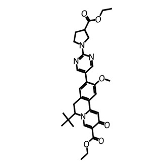 CCOC(=O)c1cn2c(cc1=O)-c1cc(OC)c(-c3cnc(N4CCC(C(=O)OCC)C4)nc3)cc1CC2C(C)(C)C